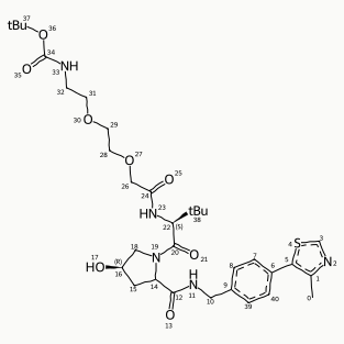 Cc1ncsc1-c1ccc(CNC(=O)C2C[C@@H](O)CN2C(=O)[C@@H](NC(=O)COCCOCCNC(=O)OC(C)(C)C)C(C)(C)C)cc1